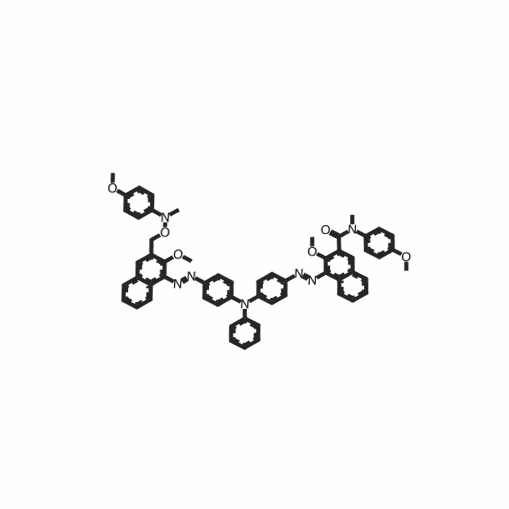 COc1ccc(N(C)OCc2cc3ccccc3c(N=Nc3ccc(N(c4ccccc4)c4ccc(N=Nc5c(OC)c(C(=O)N(C)c6ccc(OC)cc6)cc6ccccc56)cc4)cc3)c2OC)cc1